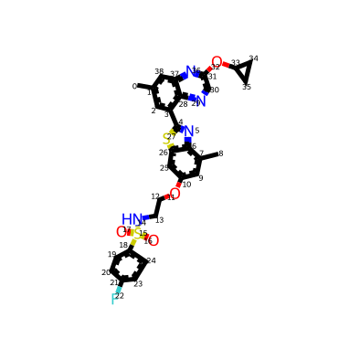 Cc1cc(-c2nc3c(C)cc(OCCNS(=O)(=O)c4ccc(F)cc4)cc3s2)c2ncc(OC3CC3)nc2c1